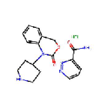 Cl.NC(=O)c1cccnn1.O=C1OCc2ccccc2N1C1CCNCC1